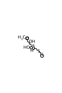 Cc1cccc(C[C@H](O)/C=C/[C@@H]2[C@H]3CC(CCSCCN4CCCCC4)=C[C@H]3C[C@H]2O)c1